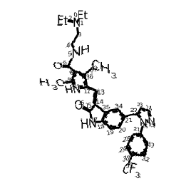 CCN(CC)CCNC(=O)c1c(C)[nH]c(/C=C2\C(=O)Nc3ccc(-c4ccnn4-c4ccc(C(F)(F)F)cc4)cc32)c1C